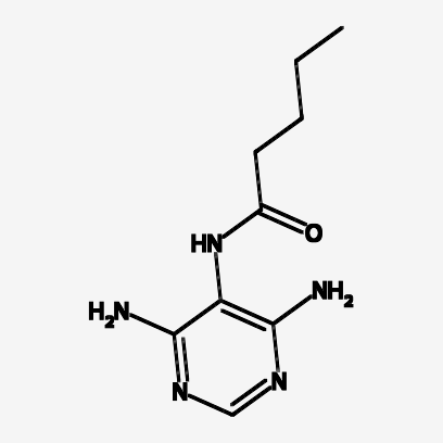 CCCCC(=O)Nc1c(N)ncnc1N